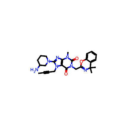 CC#CCn1c(N2CCCC(N)C2)nc2c1c(=O)n(CC1=NC(C)(C)c3ccccc3O1)c(=O)n2C